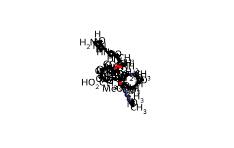 CO[C@@H](/C(C)=C/C=C/C(C)=C/c1coc(C)n1)[C@@H](C)[C@@H]1C[C@H](OC(=O)OCCSSC[C@H](NC(=O)[C@H](CC(=O)O)NC(=O)[C@H](CC(=O)O)NC(=O)[C@H](CCCNC(=N)N)NC(=O)[C@H](CC(=O)O)NC(=O)CC[C@@H](C)NC(=O)c2ccc(NCc3cnc4nc(N)[nH]c(=O)c4n3)cc2)C(=O)O)C2(C)C[C@@H]2/C=C/[C@@H](C)[C@H]2C[C@H](CC(=O)O2)C[C@@H]2O[C@H]2C(=O)O1